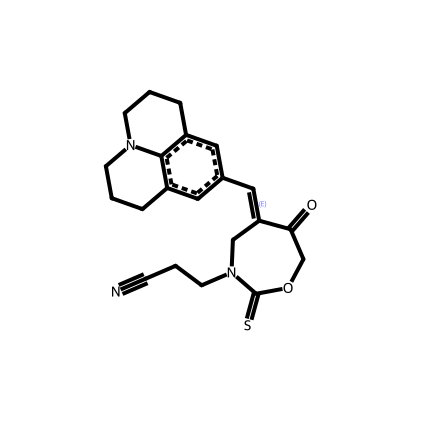 N#CCCN1C/C(=C\c2cc3c4c(c2)CCCN4CCC3)C(=O)COC1=S